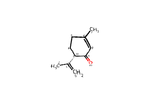 C=C(C)[C@@H]1CCC(C)=CC1=O